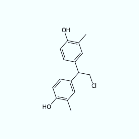 Cc1cc(C(CCl)c2ccc(O)c(C)c2)ccc1O